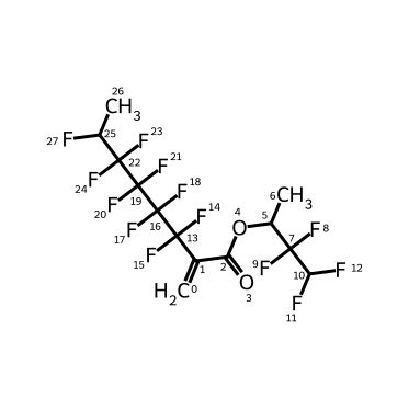 C=C(C(=O)OC(C)C(F)(F)C(F)F)C(F)(F)C(F)(F)C(F)(F)C(F)(F)C(C)F